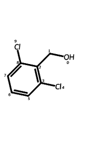 OCc1c(Cl)cccc1Cl